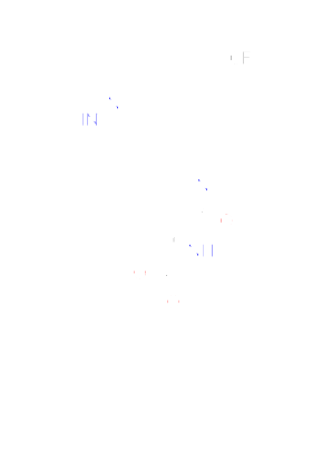 O=C(N[C@@H]1Cc2ccc3[nH]ncc3c2CN(Cc2ccc(C(F)(F)F)cc2)C1=O)OCc1ccccc1